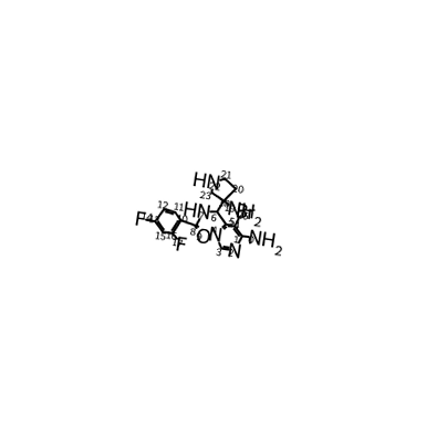 Nc1ncnc(C(NC(=O)c2ccc(F)cc2F)C2(N)CCNC2)c1Br